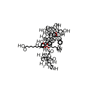 C[C@@H](O)[C@H](NC(=O)CNC(=O)[C@H](CCC(=O)O)NC(=O)[C@]1(C)CCCN1C(=O)[C@@H](N)Cc1c[nH]cn1)C(=O)NC(C)(Cc1ccccc1F)C(=O)N[C@H](C(=O)N[C@@H](CO)C(=O)N[C@@H](CC(=O)O)C(=O)N[C@@H](Cc1ccc(-n2nncc2CCCCCCCCCCCCCCCC(=O)O)cc1)C(=O)N[C@@H](Cc1ccc(-c2ccccc2)cc1)C(N)=O)[C@@H](C)O